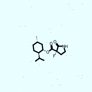 CC(C)[C@H]1CC[C@H](C)C[C@@H]1OC(=O)[C@]1(F)CCNC1=O